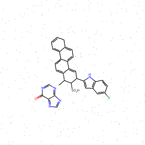 CC1c2ccc3c4c(ccc3c2=CC(c2cc3cc(F)ccc3[nH]2)C1S(=O)(=O)O)CC=CC=4.O=C1N=CN=C2N=CN=C12